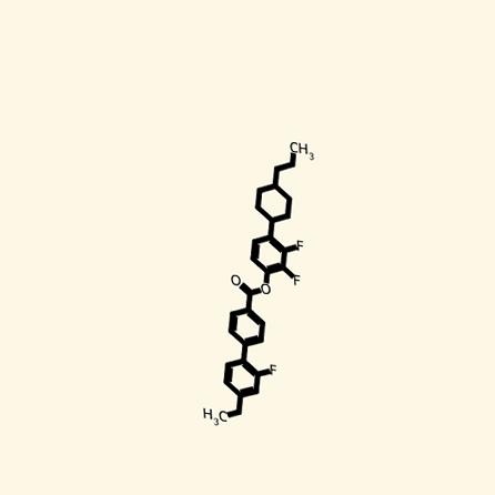 CCCC1CCC(c2ccc(OC(=O)c3ccc(-c4ccc(CC)cc4F)cc3)c(F)c2F)CC1